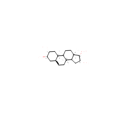 C[C@]12CC[C@H]3[C@@H](CC=C4C[C@@H](O)[C@H](O)C[C@@]43C)[C@@H]1C[C@@H](O)[C@@H]2O